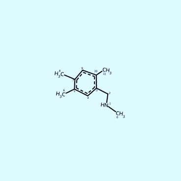 CNCc1cc(C)c(C)cc1C